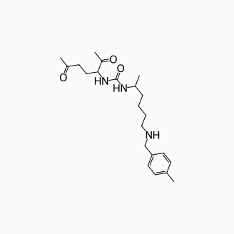 CC(=O)CCC(NC(=O)NC(C)CCCCNCc1ccc(C)cc1)C(C)=O